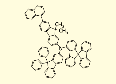 CC1(C)c2cc(-c3cccc4ccccc34)ccc2-c2ccc(N(c3ccc4c(c3)C(c3ccccc3)(c3ccccc3)c3ccccc3-4)c3cccc4c3-c3ccccc3C43c4ccccc4-c4ccccc43)cc21